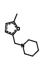 Cc1ccc(CN2CCCCC2)o1